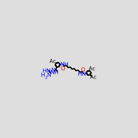 CC(=O)c1cc(NC(=O)CCCCCCCCC(=O)Nc2cc(C(C)=O)cc(/C(C)=N/NC(=N)N)c2)cc(C(C)=O)c1